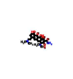 CN(C)CCc1ccc(O)c2c1CC1CC3C(N(C)C)C(O)=C(C(N)=O)C(=O)C3(O)C(O)=C1C2=O